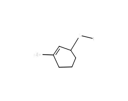 CCCCC1=CC(SI)CCC1